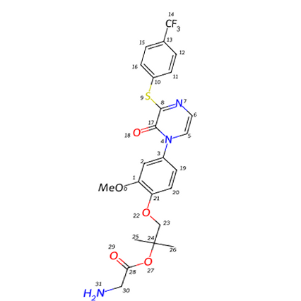 COc1cc(-n2ccnc(Sc3ccc(C(F)(F)F)cc3)c2=O)ccc1OCC(C)(C)OC(=O)CN